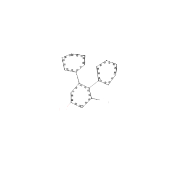 Cc1cc(O)cc(-c2ccccc2)c1-c1ccccc1